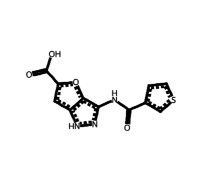 O=C(Nc1n[nH]c2cc(C(=O)O)oc12)c1ccsc1